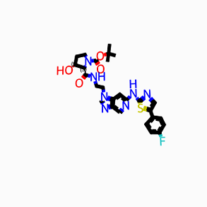 CC(C)(C)OC(=O)N1CC[C@H](O)[C@H]1C(=O)NCCn1cnc2cnc(Nc3ncc(-c4ccc(F)cc4)s3)cc21